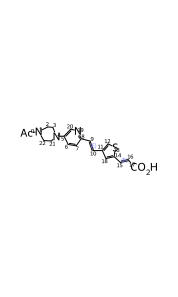 CC(=O)N1CCN(c2ccc(/C=C/c3csc(/C=C/C(=O)O)c3)nc2)CC1